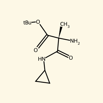 CC(C)(C)OC(=O)[C@](C)(N)C(=O)NC1CC1